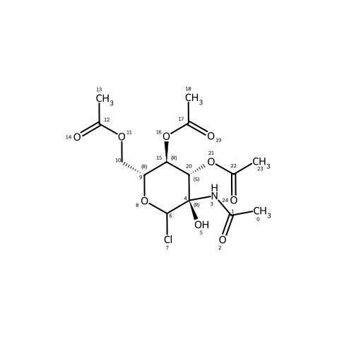 CC(=O)N[C@]1(O)C(Cl)O[C@H](COC(C)=O)[C@@H](OC(C)=O)[C@@H]1OC(C)=O